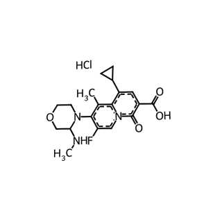 CNC1COCCN1c1c(F)cn2c(=O)c(C(=O)O)cc(C3CC3)c2c1C.Cl